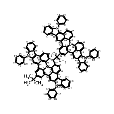 CC(C)(C)c1cc2c3c(c1)-c1cc4c(c5ccc(CC(C)(C)c6cc7c8c(c6)-c6cc9c%10ccccc%10n(-c%10ccccc%10)c9c9cccc(c69)B8c6cccc8c6c-7cc6c7ccccc7n(-c7ccccc7)c86)c(c15)B3c1cccc3c1c-2cc1c3c2ccccc2n1-c1ccccc1)c1ccccc1n4-c1ccccc1